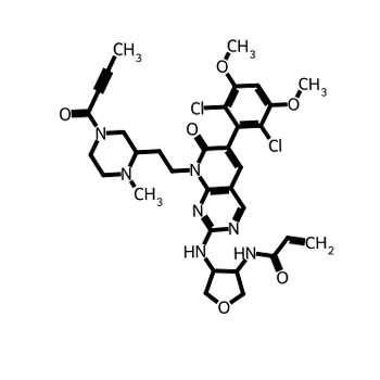 C=CC(=O)NC1COCC1Nc1ncc2cc(-c3c(Cl)c(OC)cc(OC)c3Cl)c(=O)n(CCC3CN(C(=O)C#CC)CCN3C)c2n1